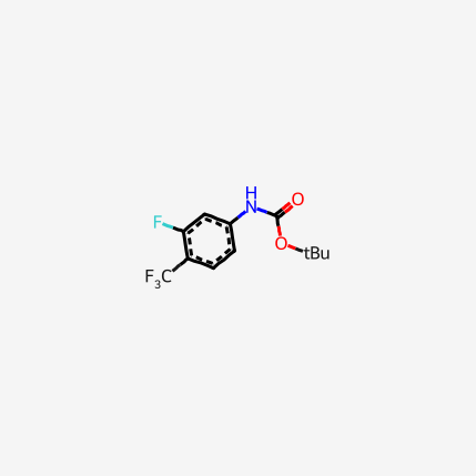 CC(C)(C)OC(=O)Nc1ccc(C(F)(F)F)c(F)c1